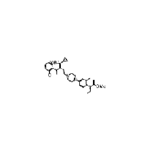 C=C(OC)/C(=C/C)c1ccc(N2CCN(CC/C(C(=C)c3c(Cl)cccc3Cl)=C(/OC)C3CC3)CC2)cc1C